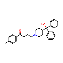 Cc1ccc(C(=O)CCCN2CCC(C(O)(c3ccccc3)c3ccccc3)CC2)cc1